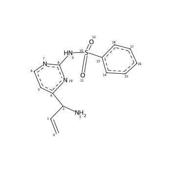 C=CC(N)c1ccnc(NS(=O)(=O)c2ccccc2)n1